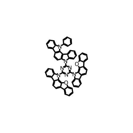 c1ccc(-n2c3ccccc3c3ccc4c(c5ccccc5n4-c4nc(-n5c6ccccc6c6ccc7c8ccccc8oc7c65)nc(-n5c6ccccc6c6ccc7c8ccccc8oc7c65)n4)c32)cc1